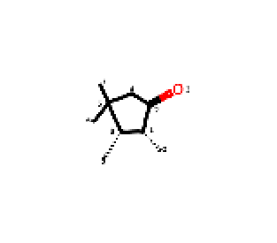 C[C@H]1C(=O)CC(C)(C)[C@H]1C